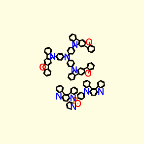 Cn1c2ccccc2c2c3c4ccccc4n(-c4ccc(P(=O)(c5ccccn5)n5c6ccccc6c6c7c8ccccc8n(C)c7ccc65)cc4)c3ccc21.c1ccc2c(c1)oc1cc3c4ccccc4n(-c4ccc(N(c5ccc(-n6c7ccccc7c7cc8oc9ccccc9c8cc76)cc5)c5ccc(-n6c7ccccc7c7cc8oc9ccccc9c8cc76)cc5)cc4)c3cc12